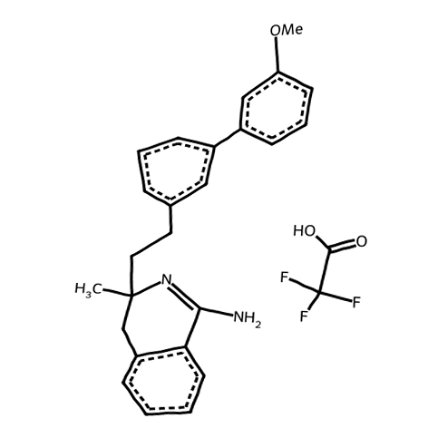 COc1cccc(-c2cccc(CCC3(C)Cc4ccccc4C(N)=N3)c2)c1.O=C(O)C(F)(F)F